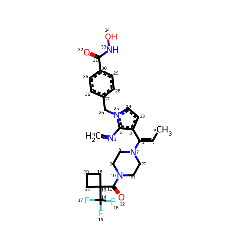 C=Nc1c(/C(=C\C)N2CCN(C(=O)C3(C(F)(F)F)CCC3)CC2)ccn1Cc1ccc(C(=O)NO)cc1